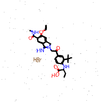 Br.CCOc1cc2c(cc1C(=O)NC)C(=N)N(CC(=O)c1ccc(NC(CC)C(=O)O)c(C(C)(C)C)c1)C2